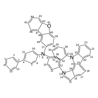 c1ccc(-c2ccc(N(c3ccc(-n4ccc5ccc6c7ccccc7n(-c7ccccc7)c6c54)cc3)c3ccc4oc5ccccc5c4c3)cc2)cc1